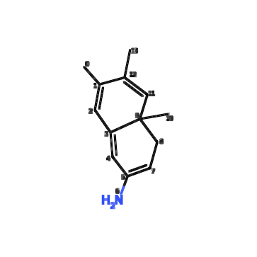 CC1=CC2=CC(N)=CCC2(C)C=C1C